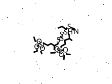 [CH2]CC(SC#N)[SH](CC(C)CCC[Si](OCC)(OCC)OCC)SSSCC(C)CCC[Si](OCC)(OCC)OCC